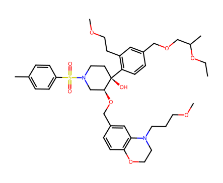 CCOC(C)COCc1ccc([C@@]2(O)CCN(S(=O)(=O)c3ccc(C)cc3)C[C@@H]2OCc2ccc3c(c2)N(CCCOC)CCO3)c(CCOC)c1